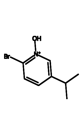 CC(C)c1ccc(Br)[n+](O)c1